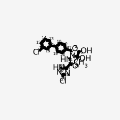 CC(O)(C(=O)O)N(Cc1ccc(-c2cccc(Cl)c2)cc1)NC(=O)c1nc(Cl)n[nH]1